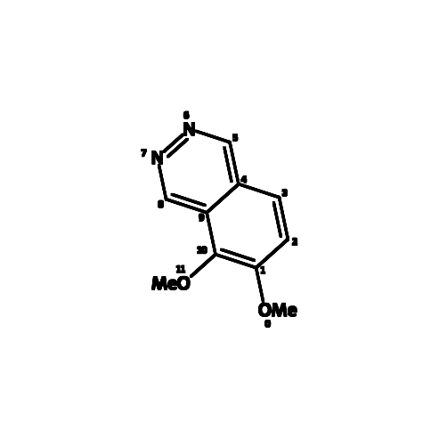 COc1ccc2cnncc2c1OC